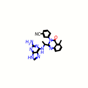 Cc1cccc2nc(C(C)Nc3nc(N)nc4[nH]cnc34)n(-c3cccc(C#N)c3)c(=O)c12